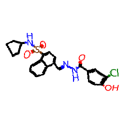 O=C(N/N=C/c1ccc(S(=O)(=O)NC2CCCC2)c2ccccc12)c1ccc(O)c(Cl)c1